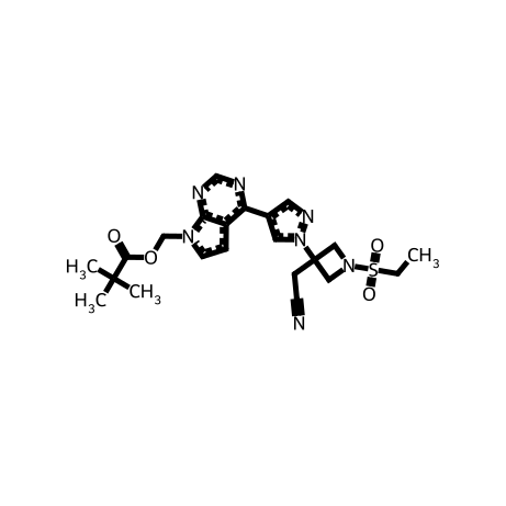 CCS(=O)(=O)N1CC(CC#N)(n2cc(-c3ncnc4c3ccn4COC(=O)C(C)(C)C)cn2)C1